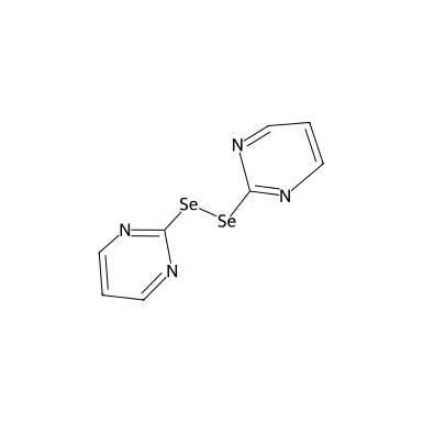 c1cnc([Se][Se]c2ncccn2)nc1